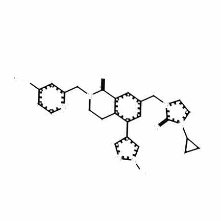 CCn1cc(-c2cc(Cn3ccn(C4CC4)c3=N)cc3c2CCN(Cc2cc(OC)ccn2)C3=O)cn1